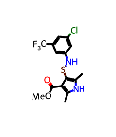 COC(=O)c1c(C)[nH]c(C)c1SNc1cc(Cl)cc(C(F)(F)F)c1